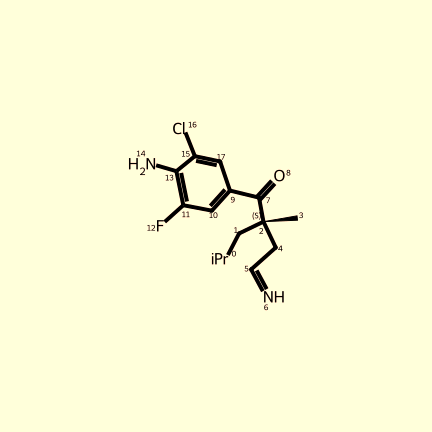 CC(C)C[C@@](C)(CC=N)C(=O)c1cc(F)c(N)c(Cl)c1